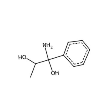 CC(O)C(N)(O)c1ccccc1